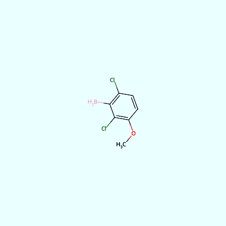 Bc1c(Cl)ccc(OC)c1Cl